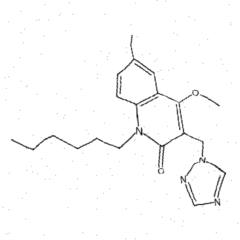 CCCCCCn1c(=O)c(Cn2cncn2)c(OC)c2cc(C)ccc21